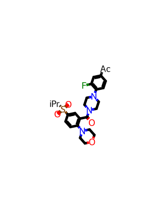 CC(=O)c1ccc(N2CCN(C(=O)c3cc(S(=O)(=O)C(C)C)ccc3N3CCOCC3)CC2)c(F)c1